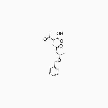 CC(=O)C(CC(=O)CC(C)OCc1ccccc1)C(=O)O